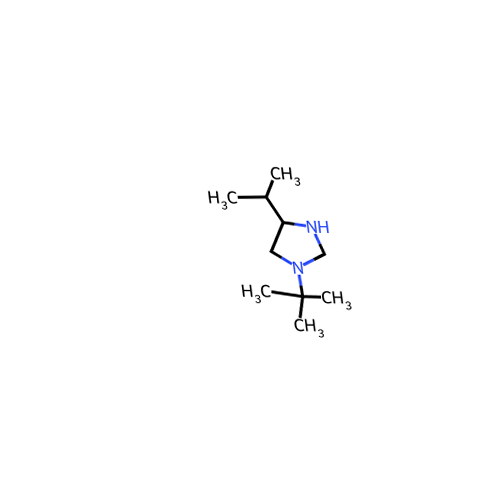 CC(C)C1CN(C(C)(C)C)CN1